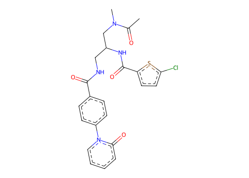 CC(=O)N(C)CC(CNC(=O)c1ccc(-n2ccccc2=O)cc1)NC(=O)c1ccc(Cl)s1